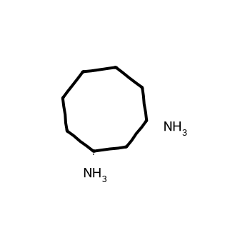 N.N.[CH]1CCCCCCC1